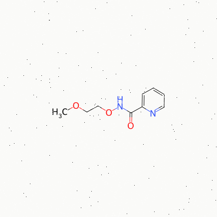 COCCONC(=O)c1ccccn1